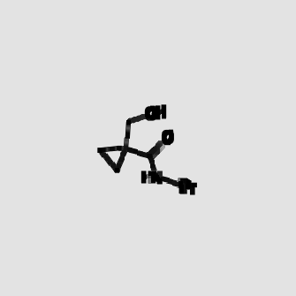 CC(C)NC(=O)C1(CO)CC1